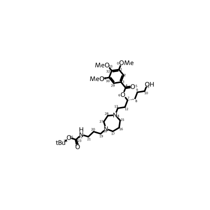 COc1cc(C(=O)O[C@H](CCCO)CCN2CCCN(CCCNC(=O)OC(C)(C)C)CC2)cc(OC)c1OC